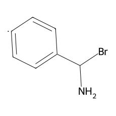 NC(Br)c1cc[c]cc1